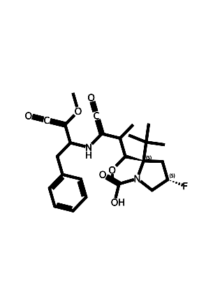 COC(=C=O)C(Cc1ccccc1)NC(=C=O)C(C)C(OC)[C@@]1(C(C)(C)C)C[C@H](F)CN1C(=O)O